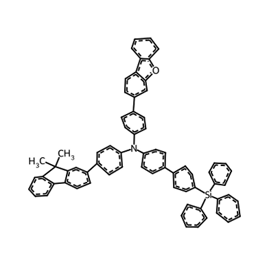 CC1(C)c2ccccc2-c2ccc(-c3ccc(N(c4ccc(-c5ccc([Si](c6ccccc6)(c6ccccc6)c6ccccc6)cc5)cc4)c4ccc(-c5ccc6c(c5)oc5ccccc56)cc4)cc3)cc21